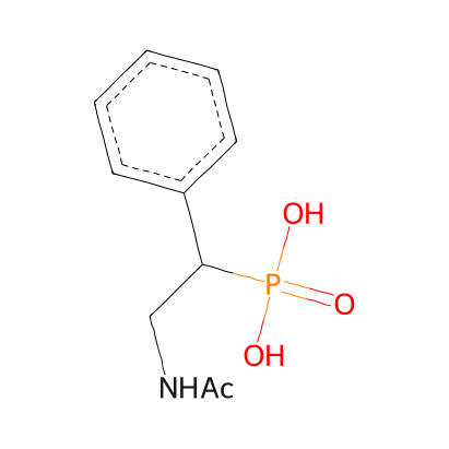 CC(=O)NCC(c1ccccc1)P(=O)(O)O